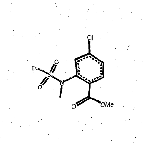 CCS(=O)(=O)N(C)c1cc(Cl)ccc1C(=O)OC